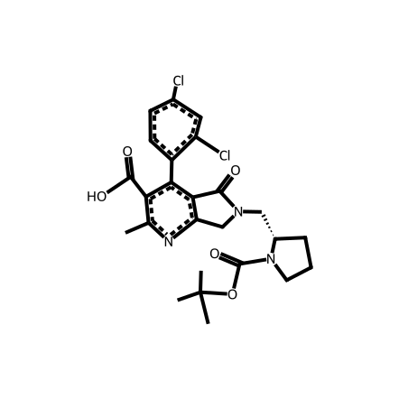 Cc1nc2c(c(-c3ccc(Cl)cc3Cl)c1C(=O)O)C(=O)N(C[C@@H]1CCCN1C(=O)OC(C)(C)C)C2